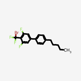 CCCCCc1ccc(-c2cc(F)c(C(F)(F)Br)c(F)c2)cc1